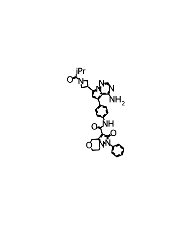 CC(C)C(=O)N1CC(c2cc(-c3ccc(NC(=O)c4c5n(n(-c6ccccc6)c4=O)CCOC5)cc3)c3c(N)ncnn23)C1